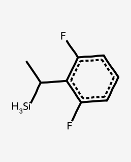 CC([SiH3])c1c(F)cccc1F